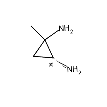 CC1(N)C[C@H]1N